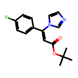 CC(C)(C)OC(=O)C=C(c1ccc(F)cc1)n1ccnc1